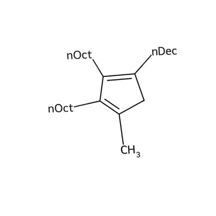 CCCCCCCCCCC1=C(CCCCCCCC)C(CCCCCCCC)=C(C)C1